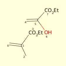 C=C(C)C(=O)OCC.C=C(O)C(=O)OCC